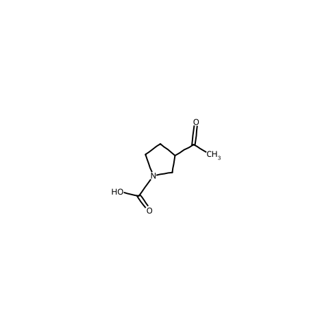 CC(=O)C1CCN(C(=O)O)C1